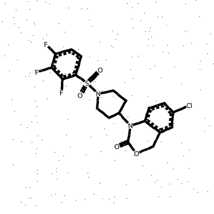 O=C1OCc2cc(Cl)ccc2N1C1CCN(S(=O)(=O)c2ccc(F)c(F)c2F)CC1